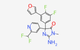 CN1C(=O)C(c2ccnc(C(F)F)c2)(c2cc(F)c(F)c(-c3ccoc3)c2)N=C1N